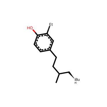 CCc1cc(CCC(C)C[C@H](C)CC)ccc1O